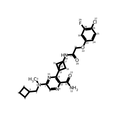 CN(CC1CCC1)c1cnc(C(N)=O)c(C23CC(NC(=O)COc4ccc(Cl)c(F)c4)(C2)C3)n1